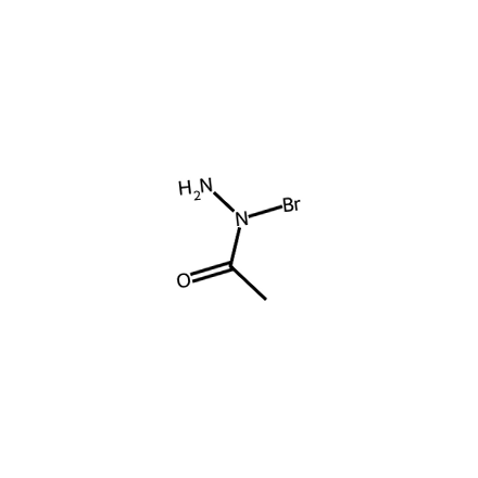 CC(=O)N(N)Br